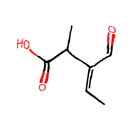 CC=C(C=O)C(C)C(=O)O